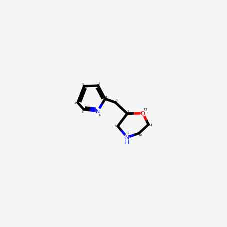 [CH](c1ccccn1)C1CNCCO1